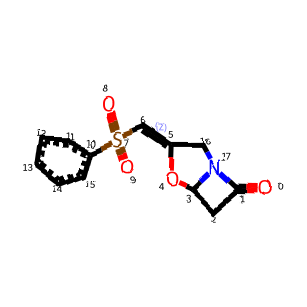 O=C1CC2O/C(=C\S(=O)(=O)c3ccccc3)CN12